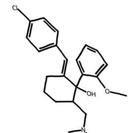 COc1ccccc1C1(O)C(=Cc2ccc(Cl)cc2)CCCC1CN(C)C